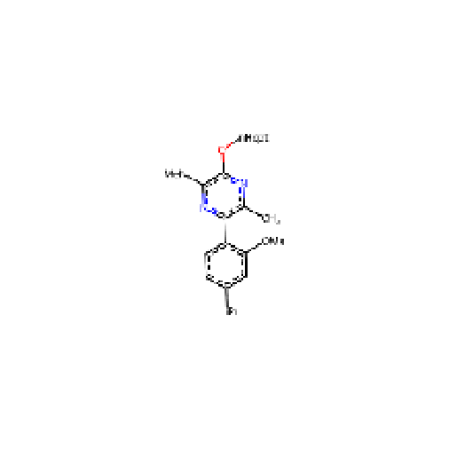 CCCCCCCOc1nc(C)c(-c2ccc(C(C)C)cc2OC)nc1NC